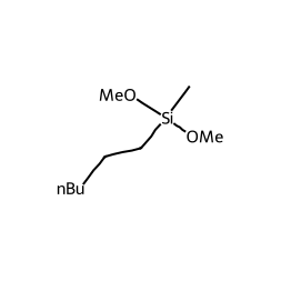 [CH2]CCCCC[Si](C)(OC)OC